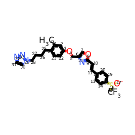 Cc1cc(OCc2coc(C=Cc3ccc([S+]([O-])C(F)(F)F)cc3)n2)ccc1CCCCn1ccnn1